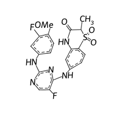 COc1ccc(Nc2ncc(F)c(Nc3ccc4c(c3)NC(=O)C(C)S4(=O)=O)n2)cc1F